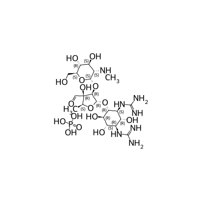 CN[C@@H]1[C@H](O[C@H]2[C@H](O[C@H]3[C@H](O)[C@@H](O)[C@H](NC(=N)N)[C@@H](O)[C@@H]3NC(=N)N)O[C@@H](C)[C@]2(O)C=O)O[C@@H](CO)[C@H](O)[C@H]1O.O=P(O)(O)O